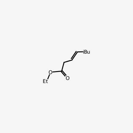 CCOC(=O)CC=CC(C)CC